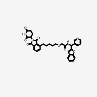 O=C1CCC(N2C(=O)c3cccc(CCCCCOCC(=O)NC(c4cccnc4)c4cc5ccccc5o4)c3C2=O)C(=O)N1